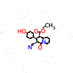 CCOC(=O)c1c(-c2ccc(O)cc2)c(C#N)c(=O)n2ccccc12